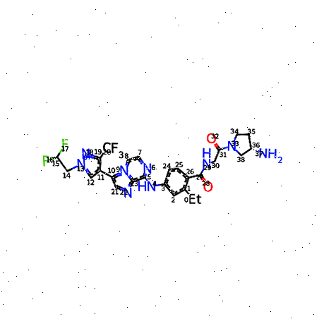 CCc1cc(Nc2nccn3c(-c4cn(CC(F)F)nc4C(F)(F)F)cnc23)ccc1C(=O)NCC(=O)N1CC[C@H](N)C1